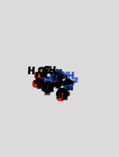 CC(C)(C)C(=O)NC1(c2cccc(-c3cc(-c4ccnn4C4CCOCC4)c4c(N)ncnn34)c2)COC1